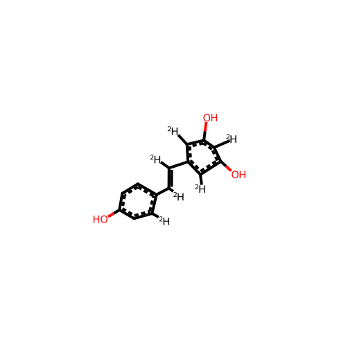 [2H]C(=C([2H])c1c([2H])c(O)c([2H])c(O)c1[2H])c1ccc(O)cc1[2H]